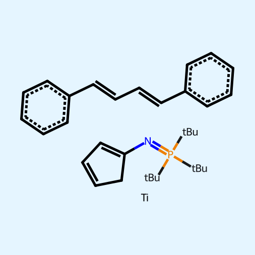 C(C=Cc1ccccc1)=Cc1ccccc1.CC(C)(C)P(=NC1=CC=CC1)(C(C)(C)C)C(C)(C)C.[Ti]